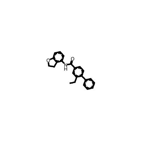 CCc1cc(C(=O)Nc2cccc3c2CCO3)ccc1-c1ccccc1